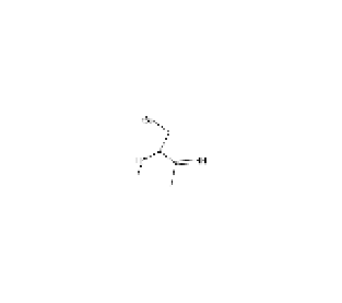 CPC(CC(C)(C)C)C(C)=N